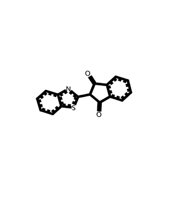 O=C1c2ccccc2C(=O)C1c1nc2ccccc2s1